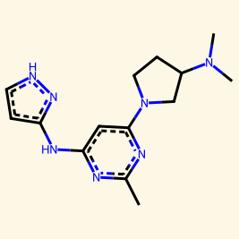 Cc1nc(Nc2cc[nH]n2)cc(N2CCC(N(C)C)C2)n1